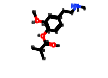 CNCCc1ccc(OC(=O)C(C)C)c(OC)c1